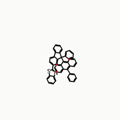 c1ccc(-c2c3ccccc3c(C3(c4ccccc4)c4ccccc4-c4ccc(-c5nc6ccccc6s5)cc43)c3ccccc23)cc1